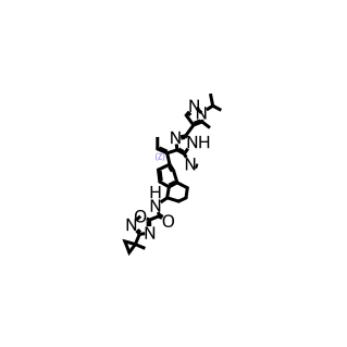 C=Nc1[nH]c(-c2cnn(C(C)C)c2C)nc1/C(=C\C)c1ccc2c(c1)CCCC2NC(=O)c1nc(C2(C)CC2)no1